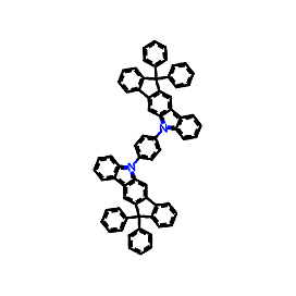 c1ccc(C2(c3ccccc3)c3ccccc3-c3cc4c(cc32)c2ccccc2n4-c2ccc(-n3c4ccccc4c4cc5c(cc43)-c3ccccc3C5(c3ccccc3)c3ccccc3)cc2)cc1